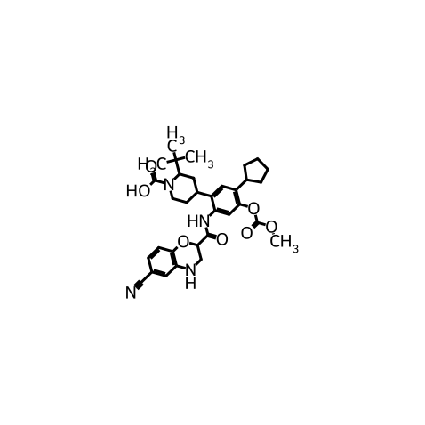 COC(=O)Oc1cc(NC(=O)C2CNc3cc(C#N)ccc3O2)c(C2CCN(C(=O)O)C(C(C)(C)C)C2)cc1C1CCCC1